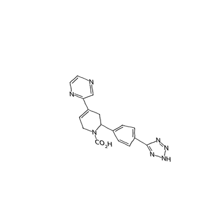 O=C(O)N1CC=C(c2cnccn2)CC1c1ccc(-c2nn[nH]n2)cc1